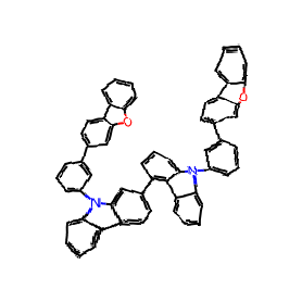 c1cc(-c2ccc3c(c2)oc2ccccc23)cc(-n2c3ccccc3c3ccc(-c4cccc5c4c4ccccc4n5-c4cccc(-c5ccc6c(c5)oc5ccccc56)c4)cc32)c1